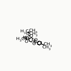 COC(=O)C1(NC(=O)OC(C)(C)C)CCN(S(=O)(=O)c2ccc(C(C)C)cc2)CC1